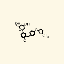 CC1CCC(Oc2ccc(Cc3cc([C@H]4C[C@@H](O)C[C@@H](CO)O4)ccc3Cl)cc2)C1